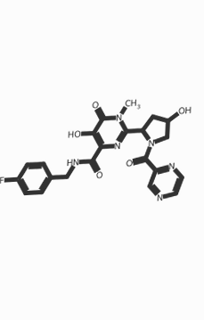 Cn1c(C2CC(O)CN2C(=O)c2cnccn2)nc(C(=O)NCc2ccc(F)cc2)c(O)c1=O